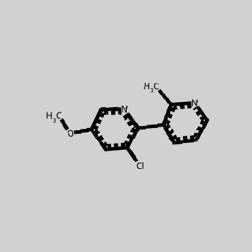 COc1cnc(-c2cccnc2C)c(Cl)c1